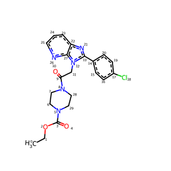 CCOC(=O)N1CCN(C(=O)Cn2c(-c3ccc(Cl)cc3)nc3cccnc32)CC1